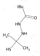 CC(C)(S)NNC(=O)C(C)(C)C